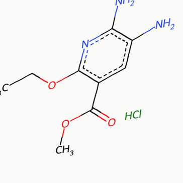 CCOc1nc(N)c(N)cc1C(=O)OC.Cl